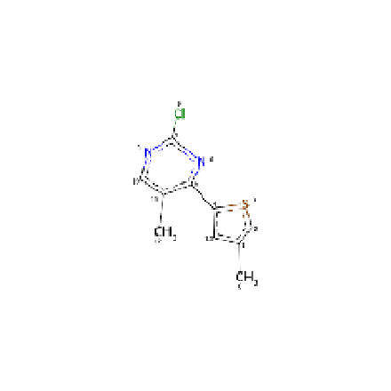 Cc1csc(-c2nc(Cl)ncc2C)c1